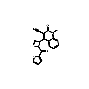 Cn1c(=O)c(C#N)c(C2CNC2C(=O)c2cccs2)c2ccccc21